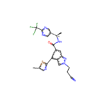 Cc1cnc(-c2cc(C(=O)N[C@H](C)c3cnc(C(F)(F)F)nc3)cc3nn(CCC#N)cc23)s1